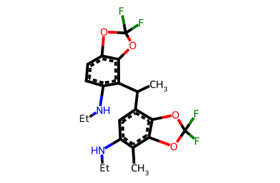 CCNc1cc(C(C)c2c(NCC)ccc3c2OC(F)(F)O3)c2c(c1C)OC(F)(F)O2